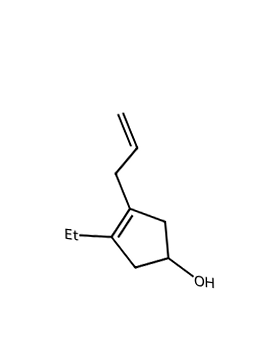 C=CCC1=C(CC)CC(O)C1